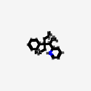 CCC(CC)(C1C=CC=CC1)C(C)c1ccccn1